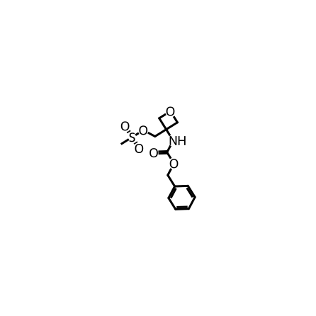 CS(=O)(=O)OCC1(NC(=O)OCc2ccccc2)COC1